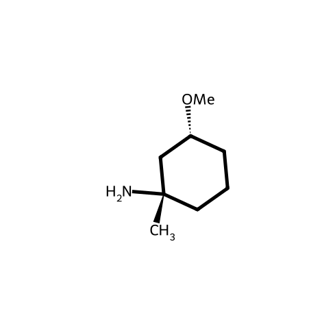 CO[C@@H]1CCC[C@](C)(N)C1